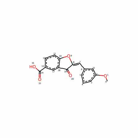 COc1cccc(C=C2Oc3ccc(C(=O)O)cc3C2=O)c1